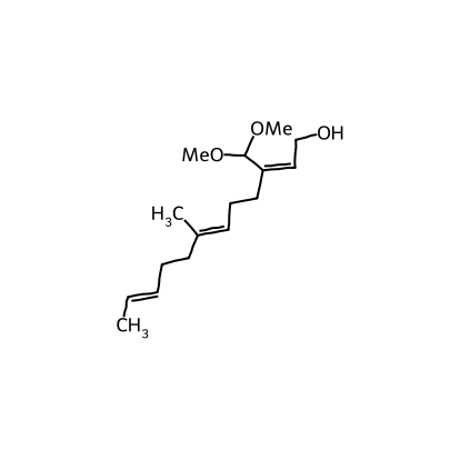 C/C=C/CC/C(C)=C/CC/C(=C/CO)C(OC)OC